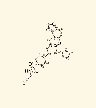 C#CCNS(=O)(=O)c1ccc(CCN(Cc2cccc3c2OCO3)C(=O)Cc2ccsc2)cc1